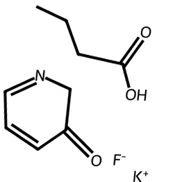 CCCC(=O)O.O=C1C=CC=NC1.[F-].[K+]